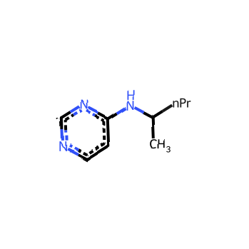 CCCC(C)Nc1ccn[c]n1